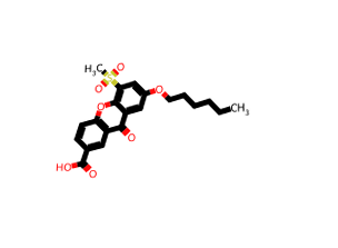 CCCCCCOc1cc(S(C)(=O)=O)c2oc3ccc(C(=O)O)cc3c(=O)c2c1